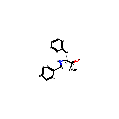 COC(=O)[C@@H](Cc1ccccc1)N=Cc1ccccc1